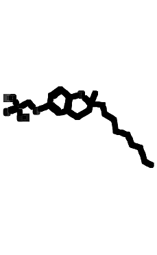 CCCCCCCCCC1(C)CCc2cc(OCP(=O)(O)O)ccc2O1